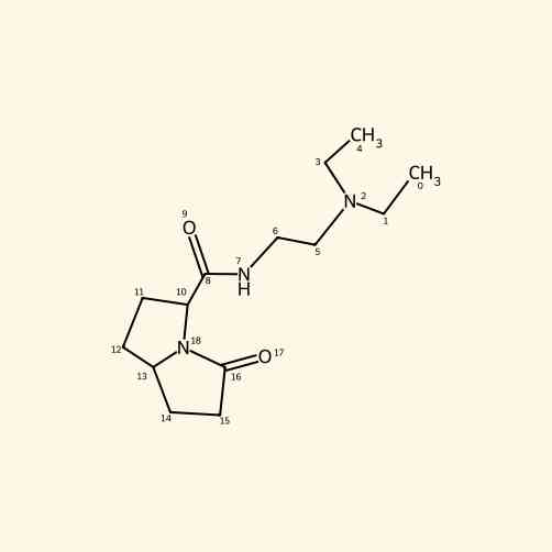 CCN(CC)CCNC(=O)C1CCC2CCC(=O)N21